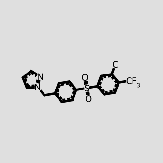 O=S(=O)(c1ccc(Cn2cccn2)cc1)c1ccc(C(F)(F)F)c(Cl)c1